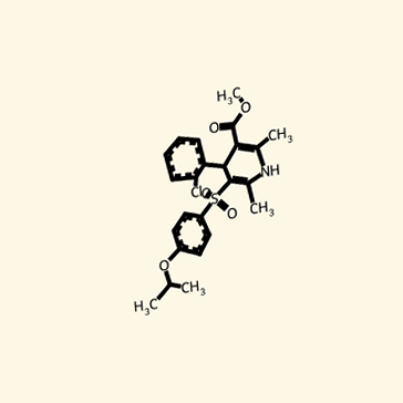 COC(=O)C1=C(C)NC(C)=C(S(=O)(=O)c2ccc(OC(C)C)cc2)C1c1ccccc1Cl